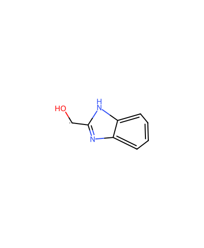 O[CH]c1nc2ccccc2[nH]1